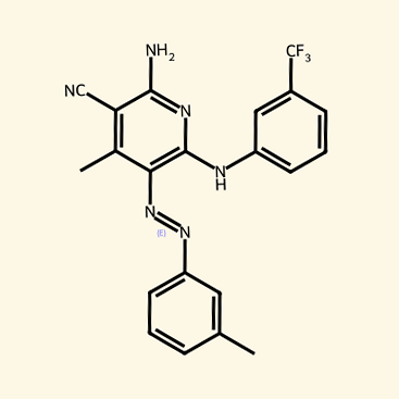 Cc1cccc(/N=N/c2c(Nc3cccc(C(F)(F)F)c3)nc(N)c(C#N)c2C)c1